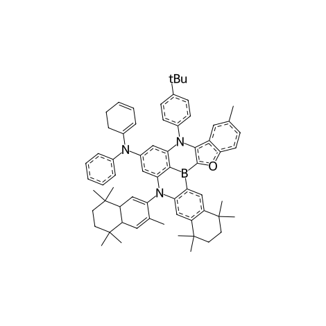 CC1=CC2C(C=C1N1c3cc4c(cc3B3c5oc6ccc(C)cc6c5N(c5ccc(C(C)(C)C)cc5)c5cc(N(C6=CC=CCC6)c6ccccc6)cc1c53)C(C)(C)CCC4(C)C)C(C)(C)CCC2(C)C